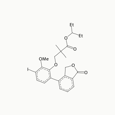 CCC(CC)OC(=O)C(C)(C)COc1c(-c2cccc3c2COC3=O)ccc(I)c1OC